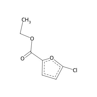 CCOC(=O)c1ccc(Cl)o1